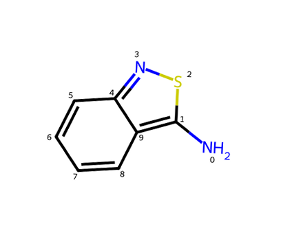 Nc1snc2ccccc12